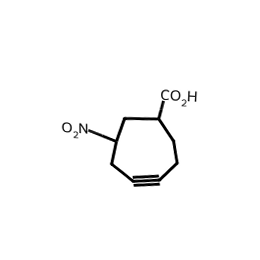 O=C(O)C1CCC#CCC([N+](=O)[O-])C1